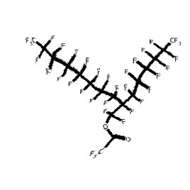 O=C(OC(F)(F)C(F)(C(F)(F)C(F)(F)C(F)(F)C(F)(F)C(F)(F)C(F)(F)F)C(F)(F)C(F)(F)C(F)(F)C(F)(F)C(F)(F)C(F)(F)C(F)(F)C(F)(F)F)C(F)(F)F